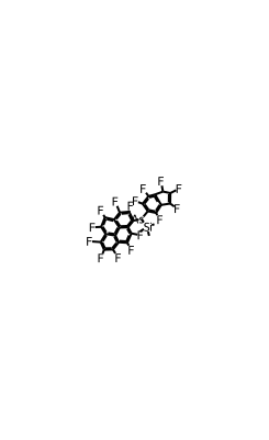 C[Si](C)(C)[As](c1c(F)c(F)c2c(c1F)C(F)=C(F)C2F)c1c(F)c(F)c2c(F)c(F)c3c(F)c(F)c(F)c4c(F)c(F)c1c2c34